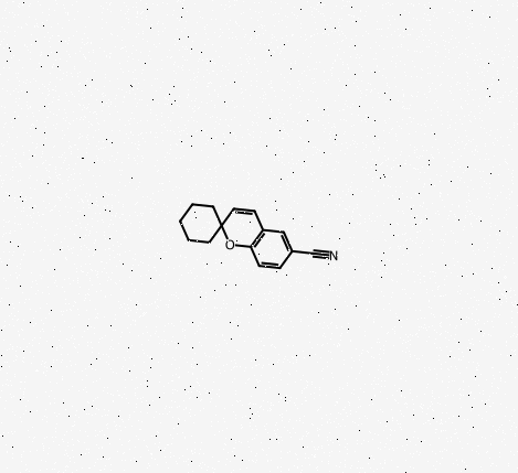 N#Cc1ccc2c(c1)C=CC1(CCCCC1)O2